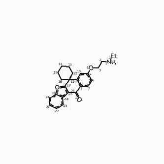 CCNCCOc1ccc2c(c1)C1(CCCCC1)c1oc3ccccc3c1C2=O